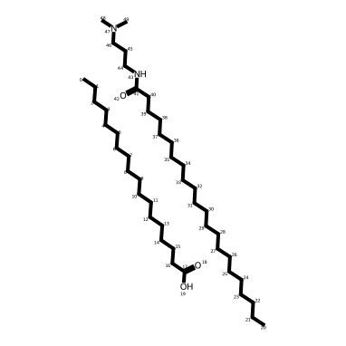 CCCCCCCCCCCCCCCCCC(=O)O.CCCCCCCCCCCCCCCCCCCCCC(=O)NCCCN(C)C